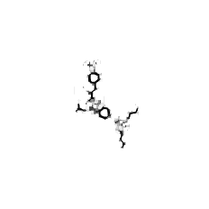 CCCCOP(=O)(COc1ccc(S(=O)(=O)N(CC(C)C)C[C@@H](O)[C@@H](N)Cc2ccc([N+](=O)[O-])cc2)cc1)OCCCC